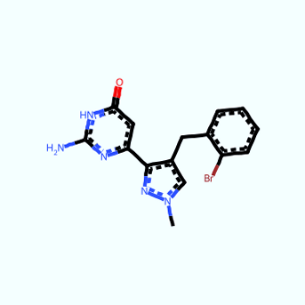 Cn1cc(Cc2ccccc2Br)c(-c2cc(=O)[nH]c(N)n2)n1